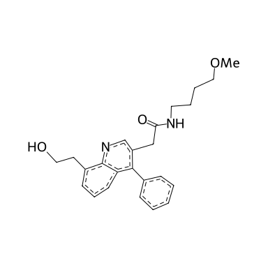 COCCCCNC(=O)Cc1cnc2c(CCO)cccc2c1-c1ccccc1